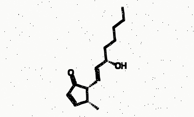 CCCCC[C@H](O)/C=C/[C@H]1C(=O)C=C[C@H]1C